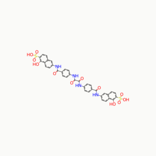 O=C(Nc1ccc(C(=O)Nc2ccc3c(O)c(S(=O)(=O)O)ccc3c2)cc1)C(=O)Nc1ccc(C(=O)Nc2ccc3c(O)c(S(=O)(=O)O)ccc3c2)cc1